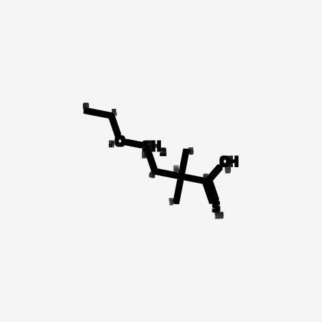 CCO[SiH2]CC(C)(C)C(O)=S